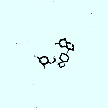 O=C(Nc1ccc(Br)cc1F)[C@H]1CC[C@]12CC[C@H](c1ccnc3ccc(F)cc31)CC2